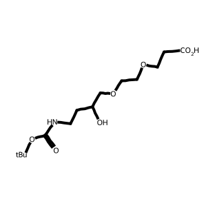 CC(C)(C)OC(=O)NCCC(O)COCCOCCC(=O)O